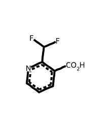 O=C(O)c1cccnc1C(F)F